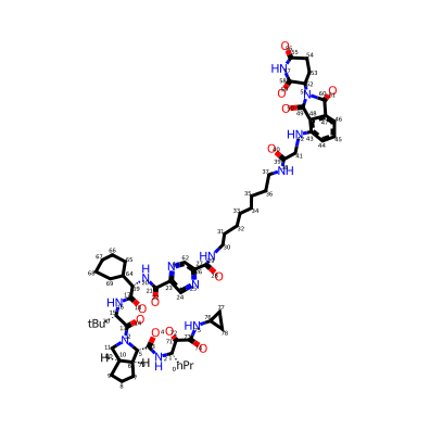 CCC[C@H](NC(=O)[C@@H]1[C@H]2CCC[C@H]2CN1C(=O)[C@@H](NC(=O)[C@@H](NC(=O)c1cnc(C(=O)NCCCCCCCCNC(=O)CNc2cccc3c2C(=O)N(C2CCC(=O)NC2=O)C3=O)cn1)C1CCCCC1)C(C)(C)C)C(=O)C(=O)NC1CC1